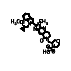 COc1cccc2cc(-c3nc4cc5c(nc4n3C)CCN(CC3COCCN3S(=O)(=O)O)C5=O)n(CC3(F)CC3)c12